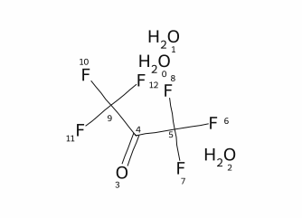 O.O.O.O=C(C(F)(F)F)C(F)(F)F